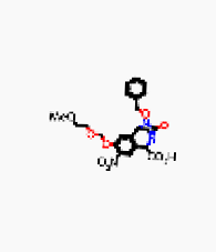 COCCOCOc1cc2c(cc1[N+](=O)[O-])C(C(=O)O)N1CC2N(OCc2ccccc2)C1=O